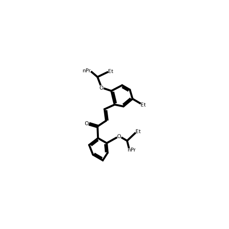 CCCC(CC)Oc1ccc(CC)cc1C=CC(=O)c1ccccc1OC(CC)CCC